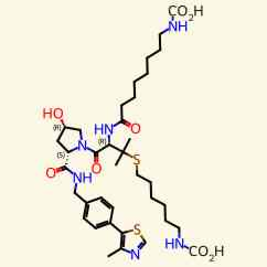 Cc1ncsc1-c1ccc(CNC(=O)[C@@H]2C[C@@H](O)CN2C(=O)[C@@H](NC(=O)CCCCCCCNC(=O)O)C(C)(C)SCCCCCCNC(=O)O)cc1